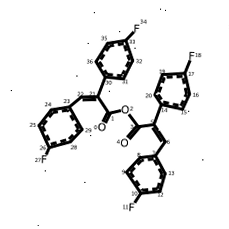 O=C(OC(=O)/C(=C\c1ccc(F)cc1)c1ccc(F)cc1)/C(=C\c1ccc(F)cc1)c1ccc(F)cc1